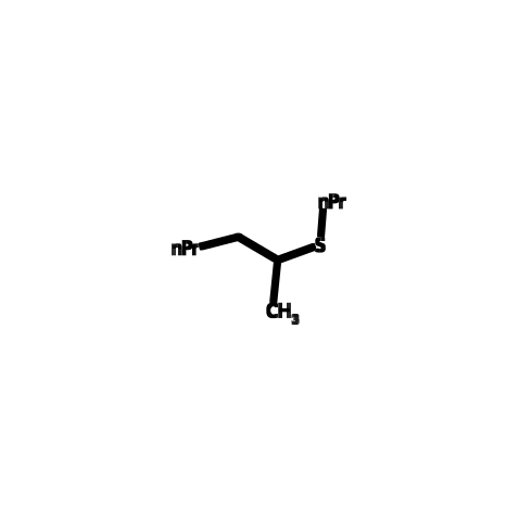 [CH2]CCSC(C)CCCC